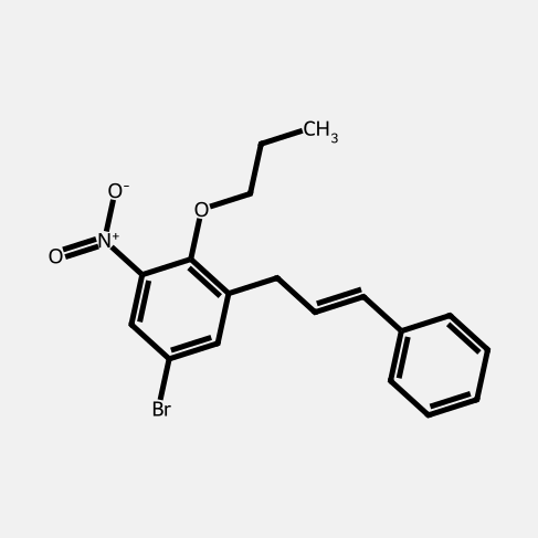 CCCOc1c(CC=Cc2ccccc2)cc(Br)cc1[N+](=O)[O-]